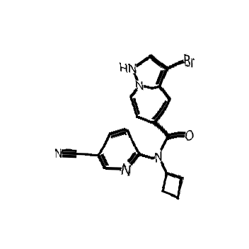 N#Cc1ccc(N(C(=O)C2=CC3=C(Br)CNN3C=C2)C2CCC2)nc1